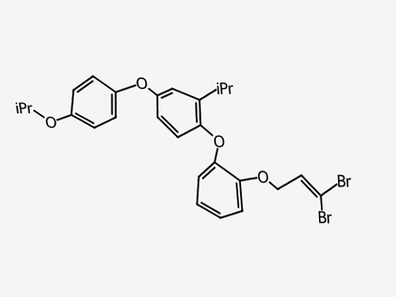 CC(C)Oc1ccc(Oc2ccc(Oc3ccccc3OCC=C(Br)Br)c(C(C)C)c2)cc1